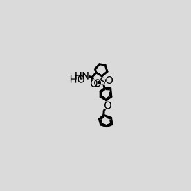 O=C(NO)C1CCCCC1S(=O)(=O)c1ccc(OCc2ccccc2)cc1